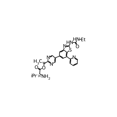 CCNC(=O)Nc1nc2cc(-c3cnc([C@@H](C)OC(=O)[C@H](N)C(C)C)nc3)cc(-c3ccccn3)c2s1